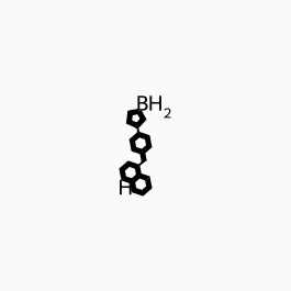 BC1CC[C@H](C2CCC(C[C@@H]3CCC[C@@H]4CCCCC43)CC2)C1